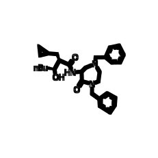 CCCC[C@H](O)[C@@H](CC1CC1)C(=O)NC1CN(Cc2ccccc2)CCN(Cc2ccccc2)C1=O